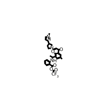 Cc1cc(C(C)Nc2ccccc2C(=O)OC(=O)C(F)(F)F)c2oc(N3CCC(c4ccn(C)n4)C3)cc(=O)c2c1